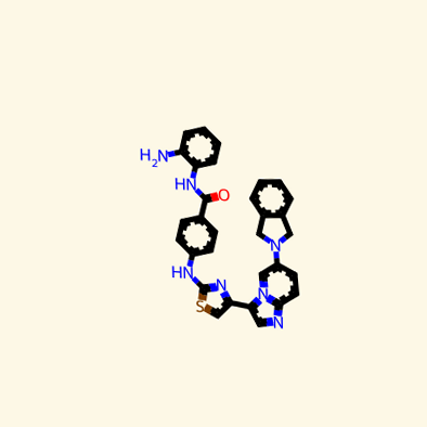 Nc1ccccc1NC(=O)c1ccc(Nc2nc(-c3cnc4ccc(N5Cc6ccccc6C5)cn34)cs2)cc1